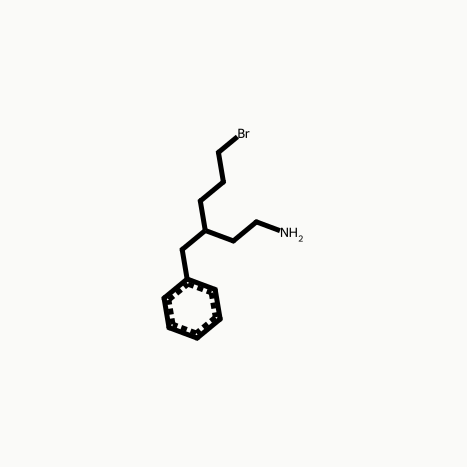 NCCC(CCCBr)Cc1ccccc1